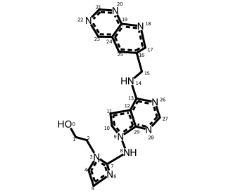 OCCn1ccnc1Nn1ccc2c(NCc3cnc4ncncc4c3)ncnc21